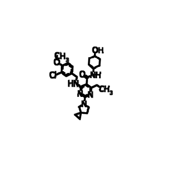 CCc1nc(N2CCC3(CC3)C2)nc(NCc2ccc(OC)c(Cl)c2)c1C(=O)NC1CCC(O)CC1